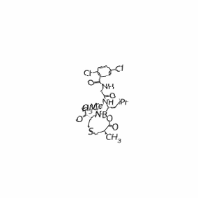 COC(=O)[C@H]1CSC[C@H](C)C(=O)OB([C@H](CC(C)C)NC(=O)CNC(=O)c2cc(Cl)ccc2Cl)N1C